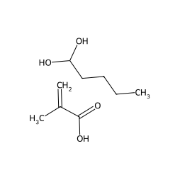 C=C(C)C(=O)O.CCCCC(O)O